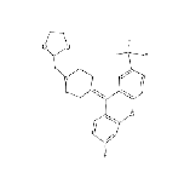 Fc1ccc2c(c1)Sc1ccc(C(F)(F)F)cc1C2=C1CCN(CC2OCCO2)CC1